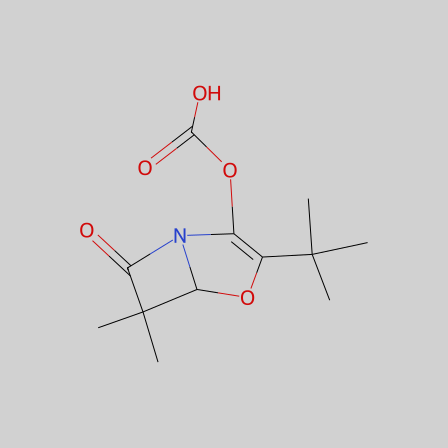 CC(C)(C)C1=C(OC(=O)O)N2C(=O)C(C)(C)C2O1